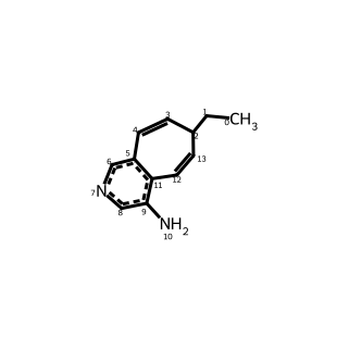 CCC1C=Cc2cncc(N)c2C=C1